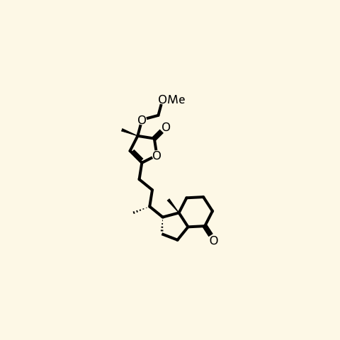 COCO[C@@]1(C)C=C(CC[C@@H](C)[C@H]2CCC3C(=O)CCC[C@]32C)OC1=O